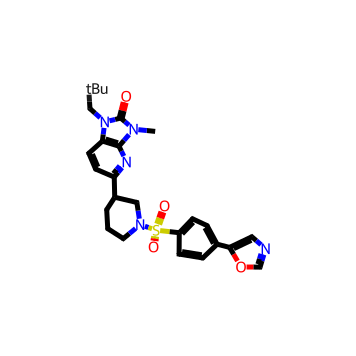 Cn1c(=O)n(CC(C)(C)C)c2ccc(C3CCCN(S(=O)(=O)c4ccc(-c5cnco5)cc4)C3)nc21